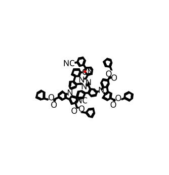 [C-]#[N+]c1cccc(-c2ccc(-n3c4ccc(C(=O)OCc5ccccc5)cc4c4cc(C(=O)OCc5ccccc5)ccc43)cc2-c2nc(-c3cccc(-c4cccc(C#N)c4)c3)nc(-c3cc(-n4c5ccc(C(=O)OCc6ccccc6)cc5c5cc(C(=O)OCc6ccccc6)ccc54)ccc3-c3cccc(C#N)c3)n2)c1